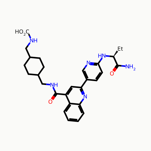 CC[C@H](Nc1ccc(-c2cc(C(=O)NCC3CCC(CNC(=O)O)CC3)c3ccccc3n2)cn1)C(N)=O